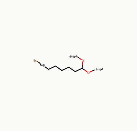 CCCCCCCOC(CCCC[CH2][Mg][Br])OCCCCCCC